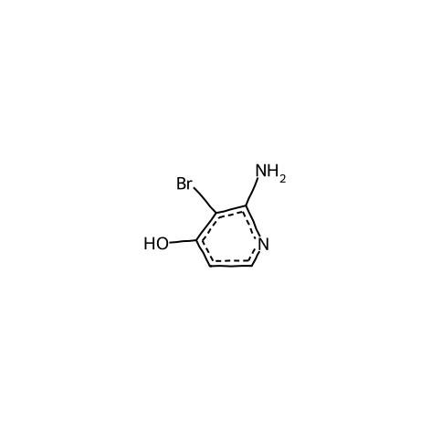 Nc1nccc(O)c1Br